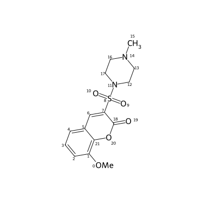 COc1cccc2cc(S(=O)(=O)N3CCN(C)CC3)c(=O)oc12